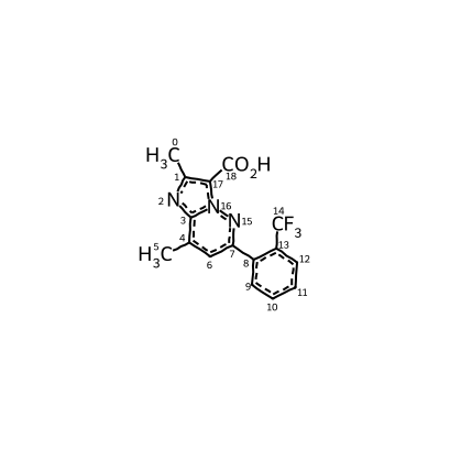 Cc1nc2c(C)cc(-c3ccccc3C(F)(F)F)nn2c1C(=O)O